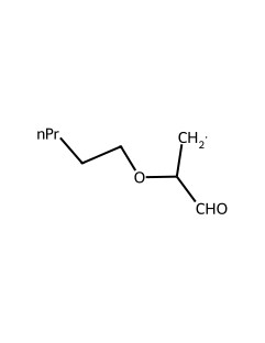 [CH2]C(C=O)OCCCCC